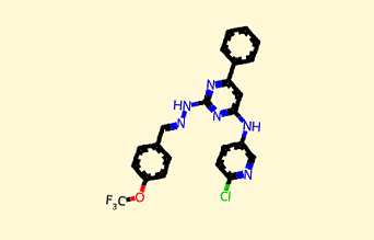 FC(F)(F)Oc1ccc(C=NNc2nc(Nc3ccc(Cl)nc3)cc(-c3ccccc3)n2)cc1